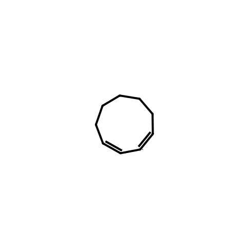 [C]1=CCCCCCC=C1